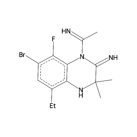 CCc1cc(Br)c(F)c2c1NC(C)(C)C(=N)N2C(C)=N